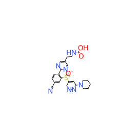 N#Cc1ccc(-c2ncc(CCNC(=O)O)cn2)c([S+]([O-])c2cnnc(N3CCCCC3)c2)c1